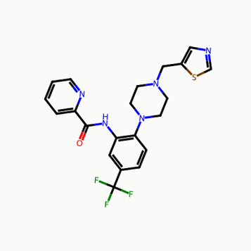 O=C(Nc1cc(C(F)(F)F)ccc1N1CCN(Cc2cncs2)CC1)c1ccccn1